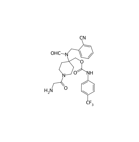 N#Cc1ccccc1CN(C=O)C1(COC(=O)Nc2ccc(C(F)(F)F)cc2)CCN(C(=O)CN)CC1